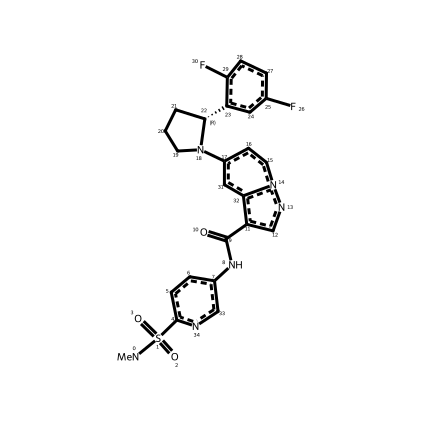 CNS(=O)(=O)c1ccc(NC(=O)c2cnn3ccc(N4CCC[C@@H]4c4cc(F)ccc4F)cc23)cn1